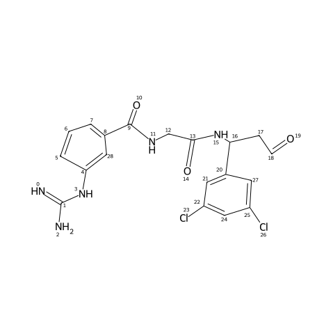 N=C(N)Nc1cccc(C(=O)NCC(=O)NC(CC=O)c2cc(Cl)cc(Cl)c2)c1